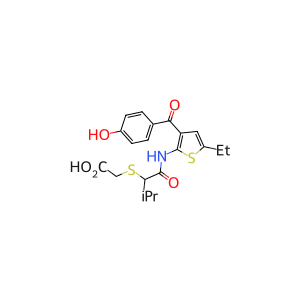 CCc1cc(C(=O)c2ccc(O)cc2)c(NC(=O)C(SCC(=O)O)C(C)C)s1